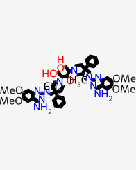 COc1cc2nc(N(C)CC3(c4ccccc4)CCN(C(CO)C(=O)C(CO)N4CCC(CN(C)c5nc(N)c6cc(OC)c(OC)cc6n5)(c5ccccc5)CC4)CC3)nc(N)c2cc1OC